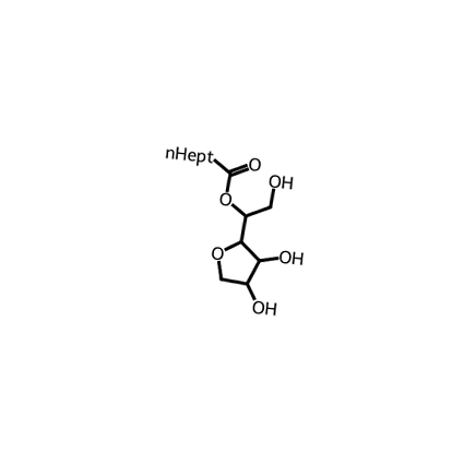 CCCCCCCC(=O)OC(CO)C1OCC(O)C1O